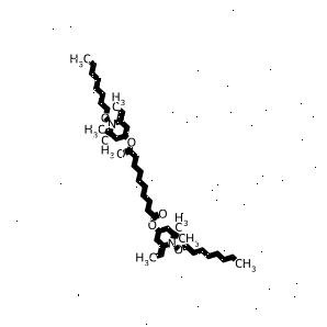 C/C=C1/CC(OC(=O)CCCCCCCCC(=O)OC2C/C(=C\C)N(OCCCCCCCC)C(C)(C)C2)CC(C)(C)N1OCCCCCCCC